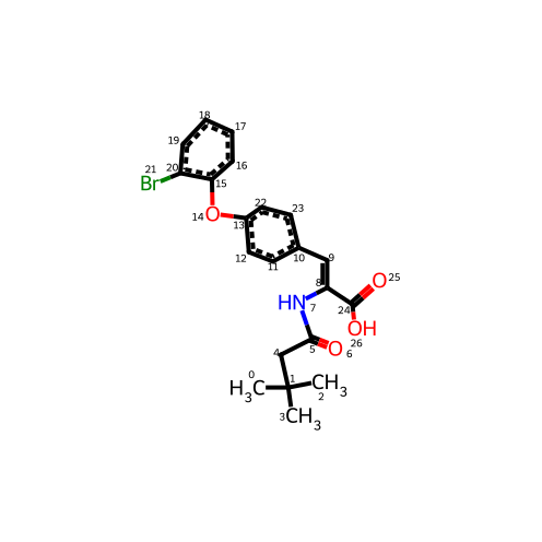 CC(C)(C)CC(=O)NC(=Cc1ccc(Oc2ccccc2Br)cc1)C(=O)O